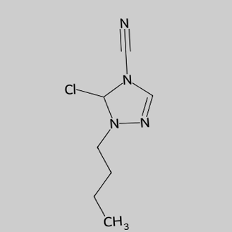 CCCCN1N=CN(C#N)C1Cl